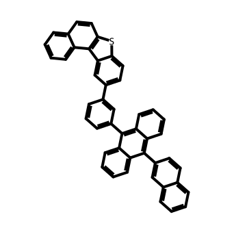 c1cc(-c2ccc3sc4ccc5ccccc5c4c3c2)cc(-c2c3ccccc3c(-c3ccc4ccccc4c3)c3ccccc23)c1